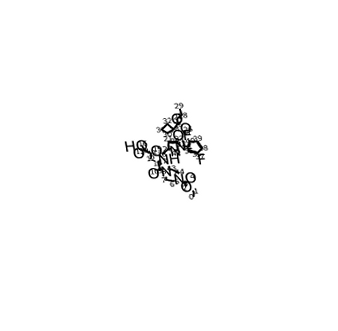 CCOC(=O)N1CCN(C(=O)[C@H](CCC(=O)O)NC(=O)c2cc(OC3(C(=O)OCC)CCC3)n(-c3cc(F)ccc3F)n2)CC1